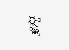 NS(=O)(=O)Cc1ccccc1Cl